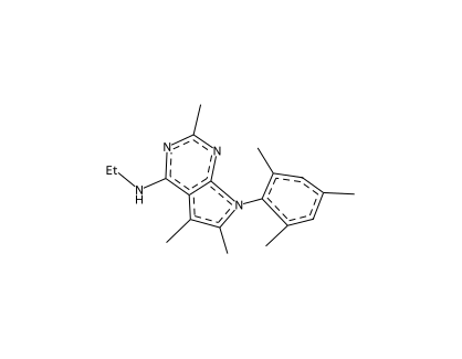 CCNc1nc(C)nc2c1c(C)c(C)n2-c1c(C)cc(C)cc1C